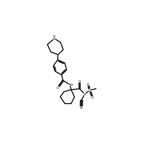 CS(=O)(=O)N(C#N)C(=O)C1(NC(=O)c2ccc(C3CCNCC3)cc2)CCCCC1